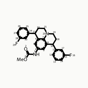 COC(=O)Nc1cc2c3c(c1)C(c1cccc(F)c1)CCN3CCC2c1cccc(F)c1